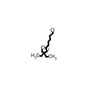 CCC(CC)(CC)CCCCCCCCl